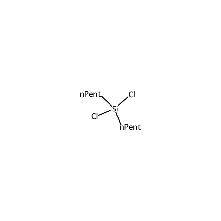 CCCCC[Si](Cl)(Cl)CCCCC